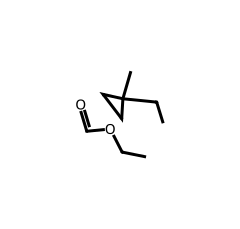 CCC1(C)CC1.CCOC=O